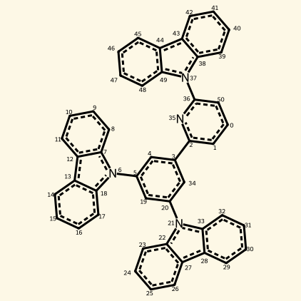 c1cc(-c2cc(-n3c4ccccc4c4ccccc43)cc(-n3c4ccccc4c4ccccc43)c2)nc(-n2c3ccccc3c3ccccc32)c1